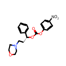 O=C(Oc1ccc([N+](=O)[O-])cc1)O[C@H](CCN1CCOCC1)c1ccccc1